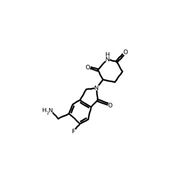 NCc1cc2c(cc1F)C(=O)N(C1CCC(=O)NC1=O)C2